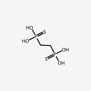 OP(O)(=S)CCP(O)(O)=S